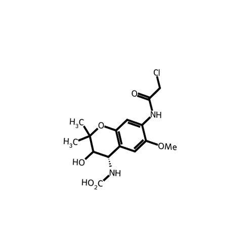 COc1cc2c(cc1NC(=O)CCl)OC(C)(C)C(O)[C@H]2NC(=O)O